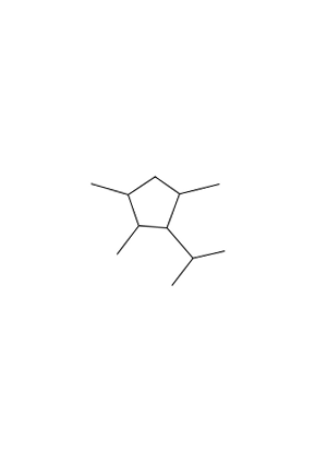 CC(C)C1C(C)CC(C)C1C